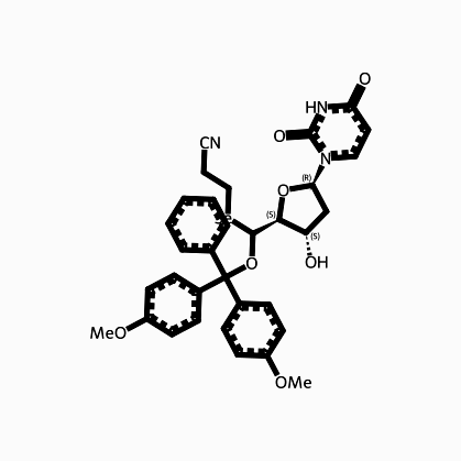 COc1ccc(C(OC([Se]CCC#N)[C@H]2O[C@@H](n3ccc(=O)[nH]c3=O)C[C@@H]2O)(c2ccccc2)c2ccc(OC)cc2)cc1